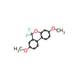 COc1ccc2c(c1)OC(F)(F)c1cc(OC)ccc1-2